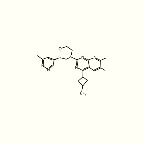 Cc1cc([C@@H]2CN(c3nc(C4CC(C(F)(F)F)C4)c4cc(C)c(C)nc4n3)CCO2)cnn1